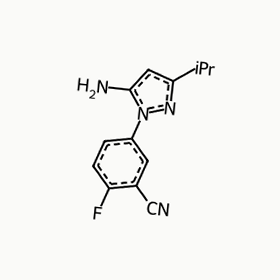 CC(C)c1cc(N)n(-c2ccc(F)c(C#N)c2)n1